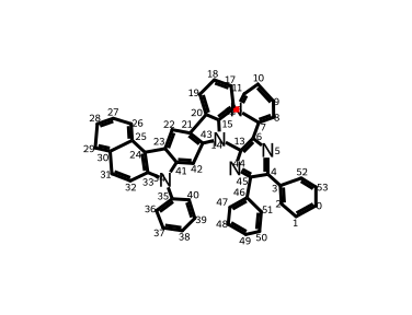 c1ccc(-c2nc(-c3ccccn3)c(-n3c4ccccc4c4cc5c6c7ccccc7ccc6n(-c6ccccc6)c5cc43)nc2-c2ccccc2)cc1